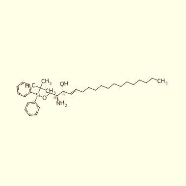 CCCCCCCCCCCCCC=C[C@@H](O)[C@@H](N)CO[Si](c1ccccc1)(c1ccccc1)C(C)(C)C